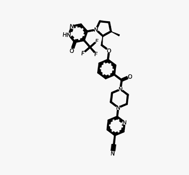 C[C@@H]1CCN(c2cn[nH]c(=O)c2C(F)(F)F)[C@@H]1COc1cccc(C(=O)N2CCN(c3ccc(C#N)cn3)CC2)c1